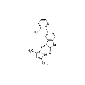 Cc1cc(C)c(/C=C2\C(=O)Nc3ccc(-c4ncccc4C)cc32)[nH]1